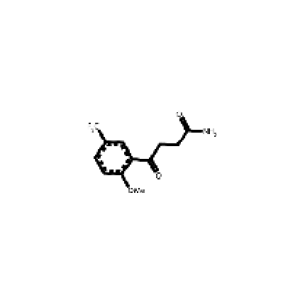 COc1ccc(C(F)(F)F)cc1C(=O)CCC(N)=O